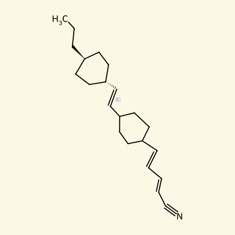 CCC[C@H]1CC[C@H](/C=C/C2CCC(C=CC=CC#N)CC2)CC1